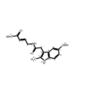 COC(=O)/C=C/CNC(=O)Cc1c(C)[nH]c2ccc(OC)cc12